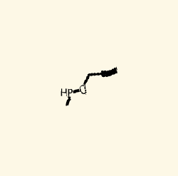 C#CCOPC